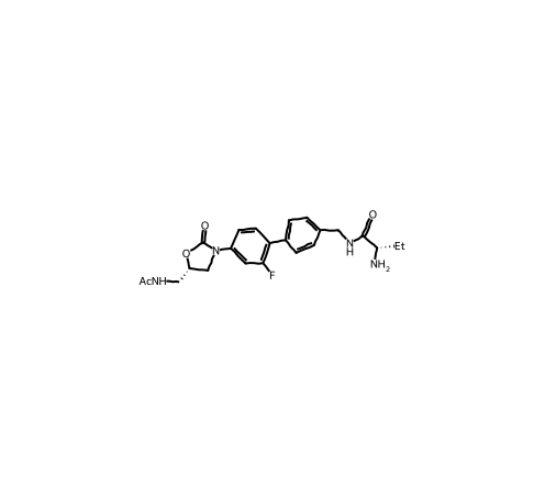 CC[C@H](N)C(=O)NCc1ccc(-c2ccc(N3C[C@H](CNC(C)=O)OC3=O)cc2F)cc1